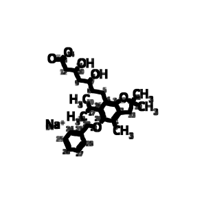 Cc1c2c(c(CCC(O)CC(O)CC(=O)[O-])c(C(C)C)c1OCc1ccccc1)OC(C)(C)C2.[Na+]